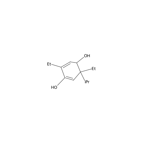 CCC1=CC(O)C(CC)(C(C)C)C=C1O